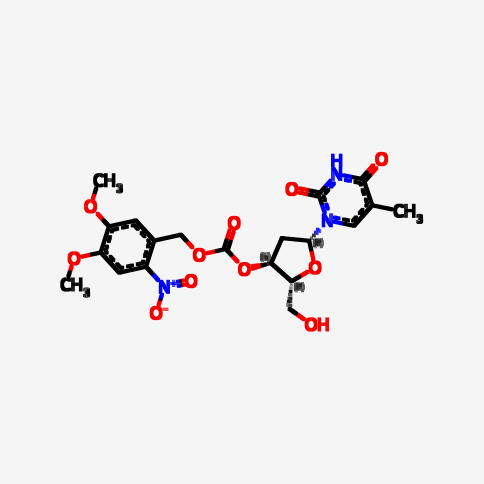 COc1cc(COC(=O)O[C@H]2C[C@H](n3cc(C)c(=O)[nH]c3=O)O[C@@H]2CO)c([N+](=O)[O-])cc1OC